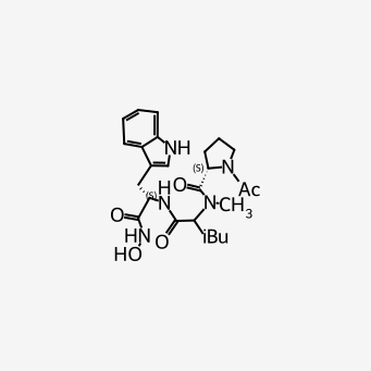 CCC(C)C(C(=O)N[C@@H](Cc1c[nH]c2ccccc12)C(=O)NO)N(C)C(=O)[C@@H]1CCCN1C(C)=O